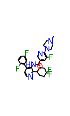 CN1CCN(c2ncc(C(=O)Nc3c(-c4cc(F)ccc4F)ccnc3C3CCC(F)(F)CC3)cc2F)CC1